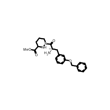 COC(=O)C1CCCN(C(=O)[C@@H](N)Cc2cccc(OCc3ccccc3)c2)N1